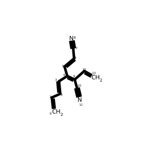 C=CC=CC(C=CC#N)=C(C#N)C=C